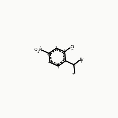 CC(Br)c1ccc([N+](=O)[O-])cc1Cl